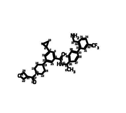 C[C@@H](NC(=O)c1cc(C2CC2)cc(C2CCN(C(=O)C3COC3)CC2)c1)c1ccc(-c2cc(C(F)(F)F)ccc2CN)cc1